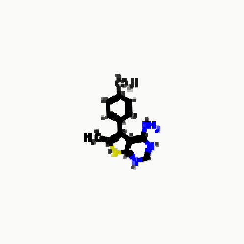 Cc1sc2ncnc(N)c2c1-c1ccc(C(=O)O)cc1